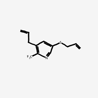 C=CCSc1cnc(C(F)(F)F)c(CC=C)c1